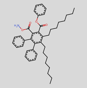 CCCCCCCCc1c(CCCCCCCC)c(-c2ccccc2)c(-c2ccccc2)c(C(=O)ON)c1C(=O)Oc1ccccc1